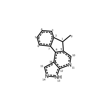 CC1c2ccccc2-c2c1cnc1[nH]ncc21